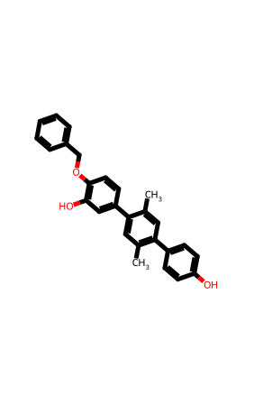 Cc1cc(-c2ccc(OCc3ccccc3)c(O)c2)c(C)cc1-c1ccc(O)cc1